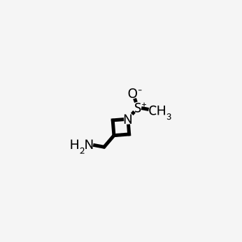 C[S+]([O-])N1CC(CN)C1